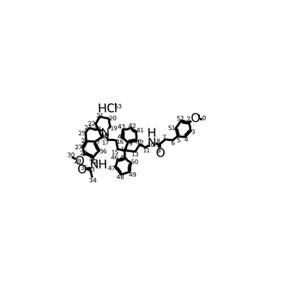 COc1ccc(CCC(=O)NCCCC(CCCN2CCCCC23CCc2cc(OC)c(NC(C)=O)cc2C3)(c2ccccc2)c2ccccc2)cc1.Cl